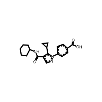 O=C(O)c1ccc(-n2ncc(C(=O)NC3CCCCC3)c2C2CC2)cc1